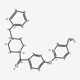 Nc1ccc(Oc2ccc(C(=O)N3CCN(Cc4ccccc4)CC3)cc2)nc1